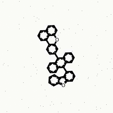 c1cc2c3c(cccc3c1)-c1ccc(-c3c4ccccc4c(-c4cccc5oc6ccccc6c45)c4ccccc34)cc1O2